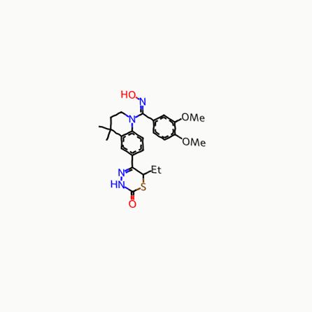 CCC1SC(=O)NN=C1c1ccc2c(c1)C(C)(C)CCN2/C(=N\O)c1ccc(OC)c(OC)c1